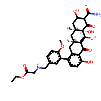 CCOC(=O)CNCc1ccc(OC)c(-c2ccc(O)c3c2C[C@H]2C[C@H]4CC(O)C(C(N)=O)C(=O)[C@@]4(O)C(O)=C2C3=O)c1